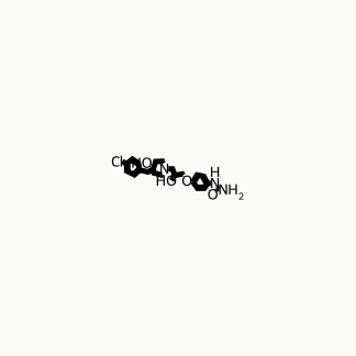 NC(=O)Nc1ccc(OCC(O)CN2CCC(O)(Cc3ccc(Cl)cc3)CC2)cc1